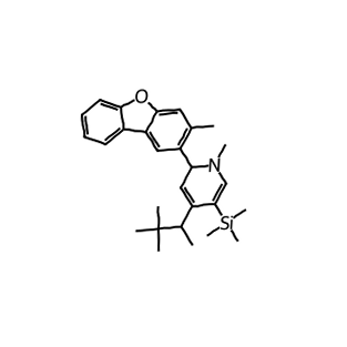 Cc1cc2oc3ccccc3c2cc1C1C=C(C(C)C(C)(C)C)C([Si](C)(C)C)=CN1C